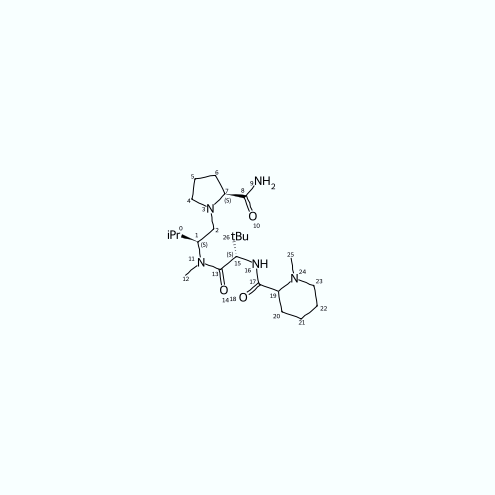 CC(C)[C@@H](CN1CCC[C@H]1C(N)=O)N(C)C(=O)[C@@H](NC(=O)C1CCCCN1C)C(C)(C)C